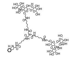 N[C@@H](Cc1ccccc1)C(=O)NC(=O)CCCCCNC(=O)CN(CC(=O)NCCCCCC(=O)NCCO[C@H]1O[C@H](CO[C@H]2O[C@H](CO)[C@@H](O)[C@H](O)[C@@H]2O)[C@@H](O)[C@H](O[C@H]2O[C@H](CO)[C@@H](O)[C@H](O)[C@@H]2O)[C@@H]1O)CC(=O)NCCCCCC(=O)NCCO[C@H]1O[C@H](CO[C@H]2O[C@H](CO)[C@@H](O)[C@H](O)[C@@H]2O)[C@@H](O)[C@H](O[C@H]2O[C@H](CO)[C@@H](O)[C@H](O)[C@@H]2O)[C@@H]1O